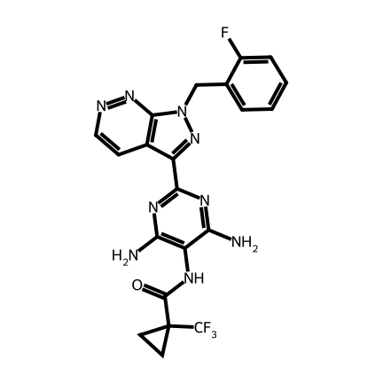 Nc1nc(-c2nn(Cc3ccccc3F)c3nnccc23)nc(N)c1NC(=O)C1(C(F)(F)F)CC1